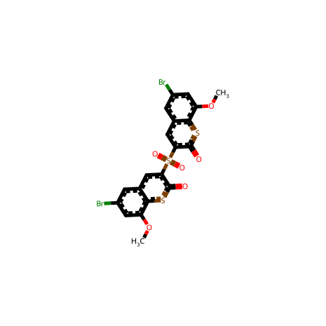 COc1cc(Br)cc2cc(S(=O)(=O)c3cc4cc(Br)cc(OC)c4sc3=O)c(=O)sc12